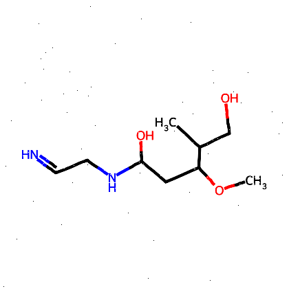 COC(CC(O)NCC=N)C(C)CO